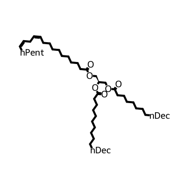 CCCCC/C=C\C/C=C\CCCCCCCCCC(=O)OC[C@@H](COC(=O)CCCCCCCCCCCCCCCCC)OC(=O)CCCCCCCCCCCCCCCCCCC